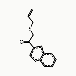 C=CCSCC(=O)c1ccc2ccccc2c1